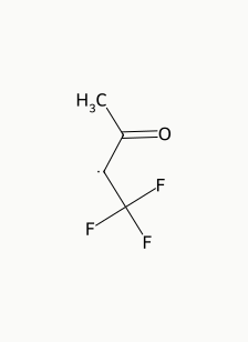 CC(=O)[CH]C(F)(F)F